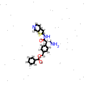 NC[C@@H](C(=O)Nc1cc2ccncc2s1)c1ccc(COC(=O)c2ccccc2)cc1